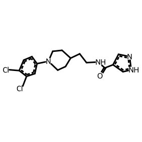 O=C(NCCC1CCN(c2ccc(Cl)c(Cl)c2)CC1)c1cn[nH]c1